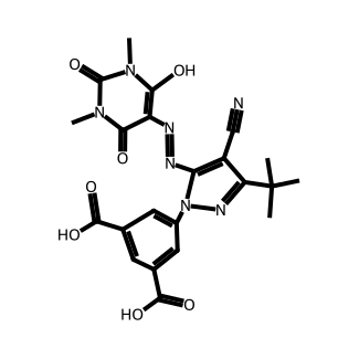 Cn1c(O)c(N=Nc2c(C#N)c(C(C)(C)C)nn2-c2cc(C(=O)O)cc(C(=O)O)c2)c(=O)n(C)c1=O